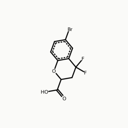 O=C(O)C1CC(F)(F)c2cc(Br)ccc2O1